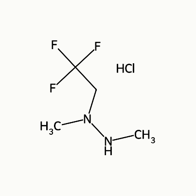 CNN(C)CC(F)(F)F.Cl